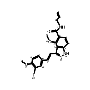 C=CCNC(=O)c1ccc2[nH]nc(C=Cc3ccc(OC)c(F)c3)c2c1OC